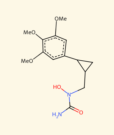 COc1cc(C2CC2CN(O)C(N)=O)cc(OC)c1OC